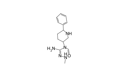 CN/N=C(/N)N(C=O)C1CCC(c2ccccc2)NC1